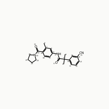 Cc1cc(NC(=O)C(C)(C)c2cccc(C#N)c2)ccc1C(=O)N1CCCC1